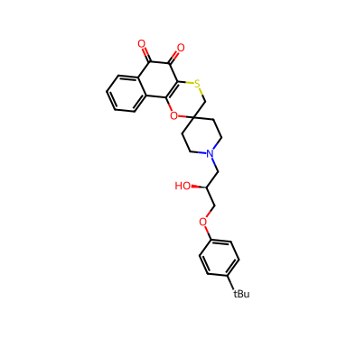 CC(C)(C)c1ccc(OC[C@@H](O)CN2CCC3(CC2)CSC2=C(O3)c3ccccc3C(=O)C2=O)cc1